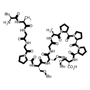 CC[C@H](C)[C@H](N)C(=O)N[C@@H](C)C(=O)NCC(=O)NCC(=O)N1CCC[C@H]1C(=O)N[C@@H](COC(C)(C)C)C(=O)N[C@@H](COC(C)(C)C)C(=O)NCC(=O)N[C@@H](C)C(=O)N1CCC[C@H]1C(=O)N1CCC[C@H]1C(=O)N1CCC[C@H]1C(=O)N[C@@H](COC(C)(C)C)C(=O)O